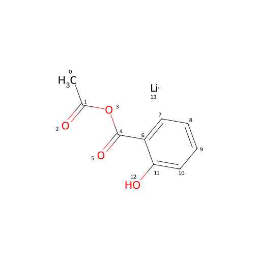 CC(=O)OC(=O)c1ccccc1O.[Li]